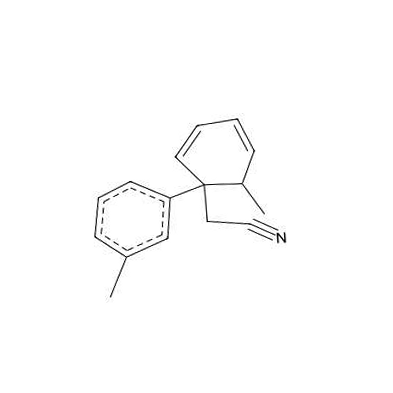 Cc1cccc(C2(CC#N)C=CC=CC2C)c1